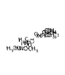 Cc1ccc(N2CCN(C)CC2)cc1C(=O)N[C@H](C)c1cccc(CCC(=O)NCCO[Si](C)(C)C(C)(C)C)c1